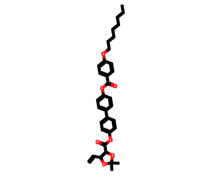 C=CC1OC(C)(C)OC1C(=O)Oc1ccc(-c2ccc(OC(=O)c3ccc(OCCCCCCCC)cc3)cc2)cc1